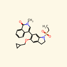 CCS(=O)(=O)N1CCc2cc(OCC3CC3)c(-c3cn(C)c(=O)c4ccccc34)cc21